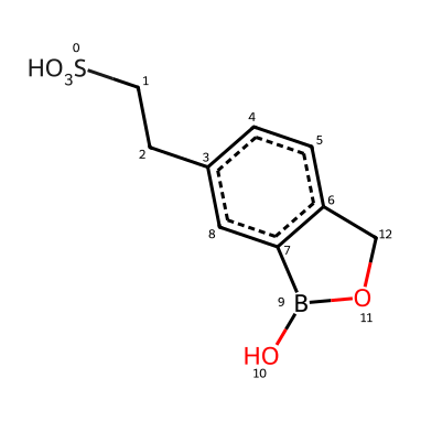 O=S(=O)(O)CCc1ccc2c(c1)B(O)OC2